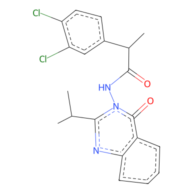 CC(C)c1nc2ccccc2c(=O)n1NC(=O)C(C)c1ccc(Cl)c(Cl)c1